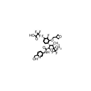 C[C@H]1[C@@H](c2ccc(F)c(F)c2OCC2COC2)[C@H](C(=O)Nc2ccc(CO)nc2)O[C@@]1(C)C(F)(F)F.O=C(O)C(F)(F)F